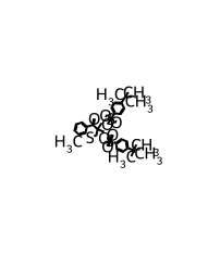 Cc1cccc2c1SCC(COS(=O)(=O)c1ccc(C(C)(C)C)cc1)(COS(=O)(=O)c1ccc(C(C)(C)C)cc1)C2=O